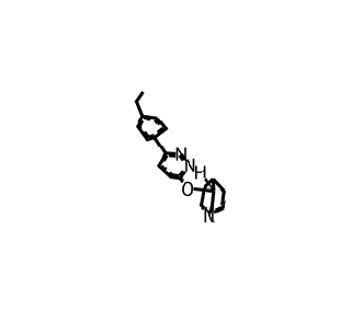 CCc1ccc(-c2ccc(O[C@H]3CN4CCC3CC4)nn2)cc1